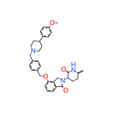 C=C1CCC(N2Cc3c(OCc4ccc(CN5CCC(c6ccc(OC)cc6)CC5)cc4)cccc3C2=O)C(=O)N1